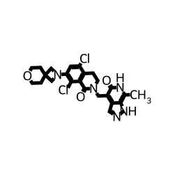 Cc1[nH]c(=O)c(CN2CCc3c(Cl)cc(N4CC5(CCOCC5)C4)c(Cl)c3C2=O)c2cn[nH]c12